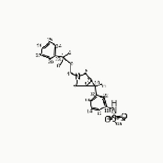 CC(C)(CCN1CC2C(C1)C2(C)c1cccc(NS(C)(=O)=O)c1)c1ccccc1